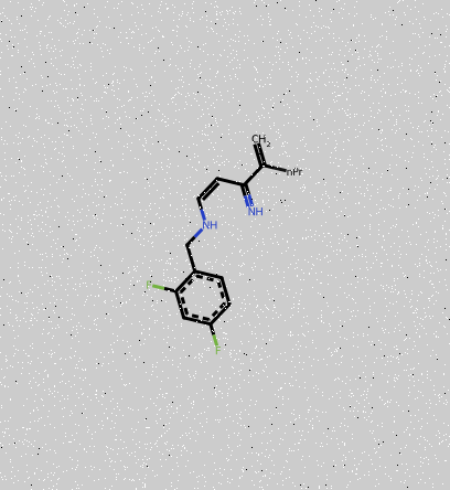 C=C(CCC)C(=N)/C=C\NCc1ccc(F)cc1F